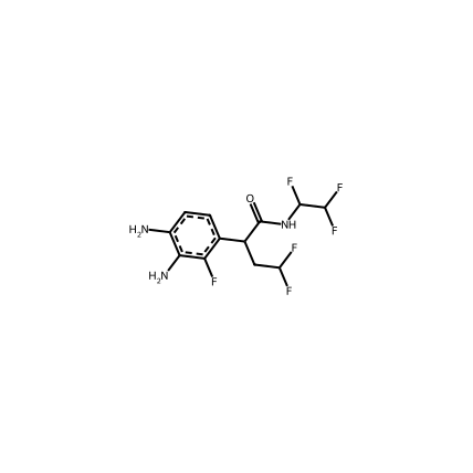 Nc1ccc(C(CC(F)F)C(=O)NC(F)C(F)F)c(F)c1N